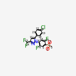 CS(=O)(=O)c1cc(F)c(-n2nc(C(F)F)cc2-c2ccc(Cl)cc2)cc1F